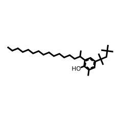 CCCCCCCCCCCCCCC(C)c1cc(C(C)(C)CC(C)(C)C)cc(C)c1O